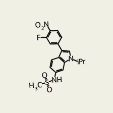 CC(C)n1cc(-c2ccc([N+](=O)[O-])c(F)c2)c2ccc(NS(C)(=O)=O)cc21